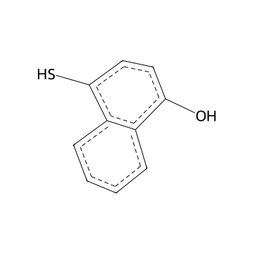 Oc1ccc(S)c2ccccc12